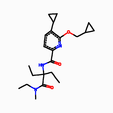 CCN(C)C(=O)C(CC)(CC)NC(=O)c1ccc(C2CC2)c(OCC2CC2)n1